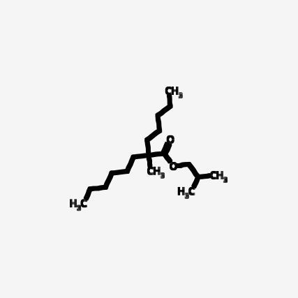 CCCCCCC(C)(CCCCC)C(=O)OCC(C)C